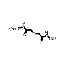 CCCCCNC(=O)COCC(=O)NCCCC